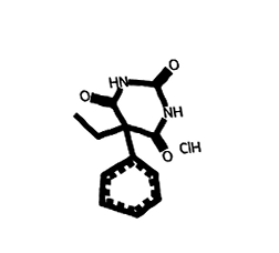 CCC1(c2ccccc2)C(=O)NC(=O)NC1=O.Cl